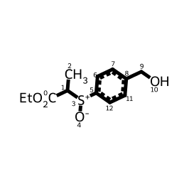 CCOC(=O)C(C)[S+]([O-])c1ccc(CO)cc1